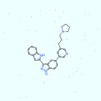 c1ccc2[nH]c(-c3n[nH]c4ccc(-c5cncc(CCCN6CCCC6)c5)cc34)cc2c1